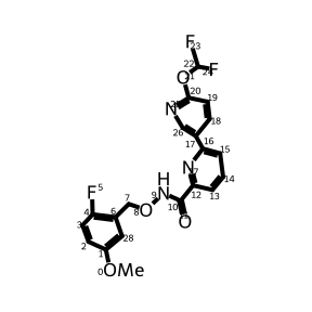 COc1ccc(F)c(CONC(=O)c2cccc(-c3ccc(OC(F)F)nc3)n2)c1